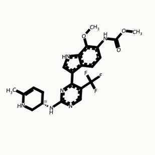 COC(=O)Nc1ccc2c(-c3nc(N[C@H]4CC=C(C)NC4)ncc3C(F)(F)F)c[nH]c2c1OC